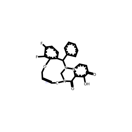 O=C1c2c(O)c(=O)ccn2N2CN1C/C=C\COc1c(ccc(F)c1F)C2c1ccccc1